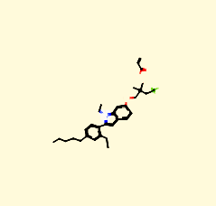 C=CC(=O)OCC(C)(COc1ccc2cc(-c3ccc(CCCCC)cc3CC)n(CC)c2c1)CC(F)(F)F